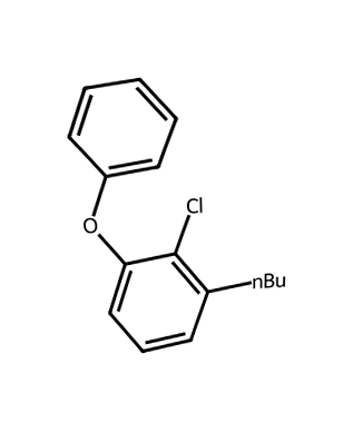 CCCCc1cccc(Oc2ccccc2)c1Cl